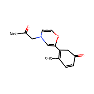 COC(=O)CN1C=COC(C2=C(C=O)C=CC(=O)C2)=C1